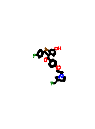 O=C(c1ccc(OCCN2CC[C@@H](CF)C2)cc1)c1c(-c2ccc(F)cc2)sc2cc(O)ccc12